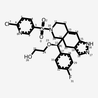 O=S(=O)(c1ccc(Cl)nc1)N1CCC2=Cc3[nH]ncc3CC2([C@H](OCCO)c2ccc(F)cc2)C1